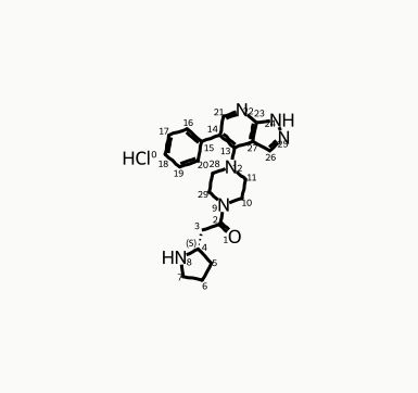 Cl.O=C(C[C@@H]1CCCN1)N1CCN(c2c(-c3ccccc3)cnc3[nH]ncc23)CC1